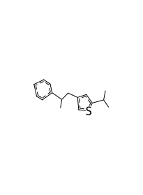 CC(C)c1cc(CC(C)c2ccccc2)cs1